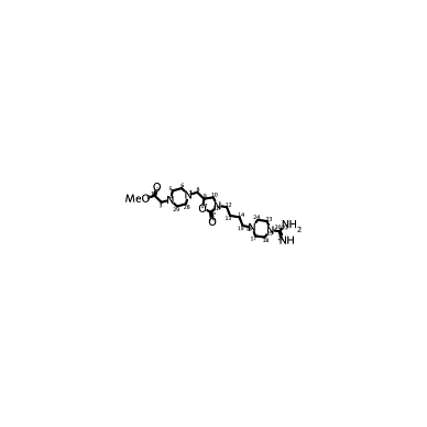 COC(=O)CN1CCN(CC2CN(CCCCN3CCN(C(=N)N)CC3)C(=O)O2)CC1